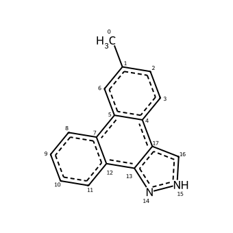 Cc1ccc2c(c1)c1ccccc1c1n[nH]cc21